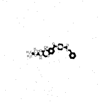 CN1C(=O)[C@@H](NC(=O)OC(C)(C)C)COc2ccc(C(=O)N3CCN(C(=O)OCc4ccccc4)CC3)cc21